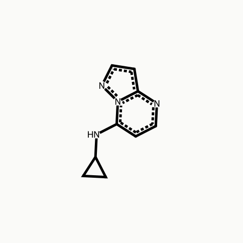 c1cc(NC2CC2)n2nccc2n1